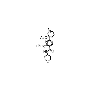 CCCSc1nc([C@]2(OC(C)=O)CCCN(C)C2)ccc1C(=O)NC1CCOCC1